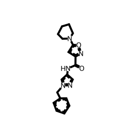 O=C(Nc1cnn(Cc2ccccc2)c1)c1cc(N2CCCCC2)on1